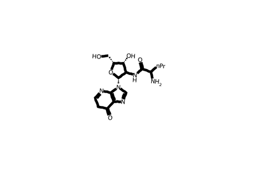 CCCC(N)C(=O)NC1[C@@H](O)[C@@H](CO)O[C@H]1n1cnc2c1N=CCC2=O